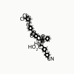 N#Cc1ccc(-c2ccc(C[C@H](NC(=O)[C@@H]3Cc4cc5c(cc4CN3S(=O)(=O)c3ccccc3)OC(c3ccc(OCc4ccc(Cl)c(Cl)c4)cc3)CO5)C(=O)O)cc2)cc1